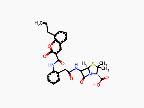 C=CCc1cccc2cc(C(=O)Nc3ccccc3CC(=O)NC3C(=O)N4[C@@H]3SC(C)(C)[C@@H]4C(=O)O)c(=O)oc12